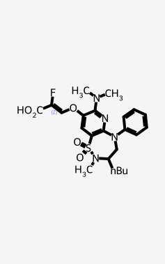 CCCCC1CN(c2ccccc2)c2nc(N(C)C)c(O/C=C(\F)C(=O)O)cc2S(=O)(=O)N1C